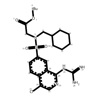 CC(C)(C)OC(=O)CN(CC1CCCCC1)S(=O)(=O)c1ccc2c(Cl)cnc(NC(=N)N)c2c1